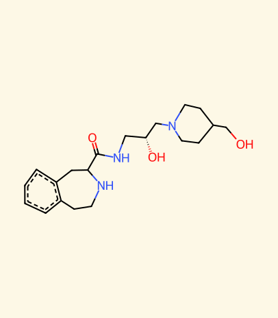 O=C(NC[C@@H](O)CN1CCC(CO)CC1)C1Cc2ccccc2CCN1